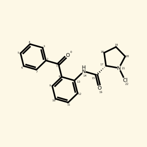 O=C(c1ccccc1)c1ccccc1NC(=O)[C@@H]1CCCN1Cl